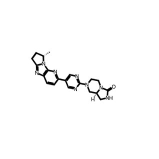 C[C@H]1CCc2nc3ccc(-c4cnc(N5CCN6C(=O)NC[C@H]6C5)nc4)nc3n21